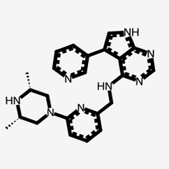 C[C@@H]1CN(c2cccc(CNc3ncnc4[nH]cc(-c5cccnc5)c34)n2)C[C@H](C)N1